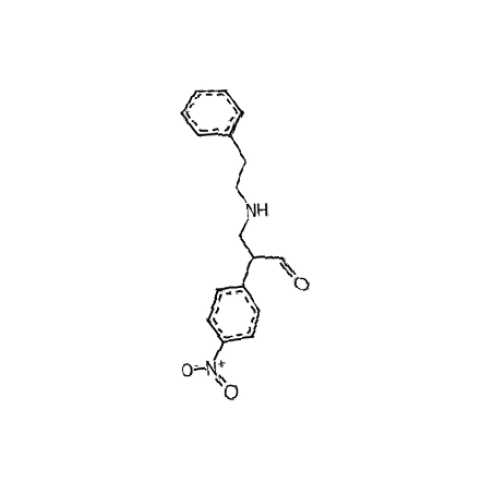 O=CC(CNCCc1ccccc1)c1ccc([N+](=O)[O-])cc1